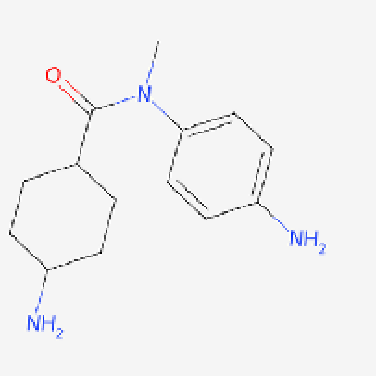 CN(C(=O)C1CCC(N)CC1)c1ccc(N)cc1